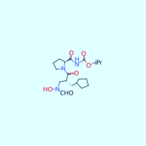 CC(C)OC(=O)NC(=O)[C@@H]1CCCN1C(=O)[C@H](CC1CCCC1)CN(O)C=O